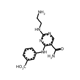 NCCNc1ncc(C(N)=O)c(Nc2cccc(C(=O)O)c2)n1